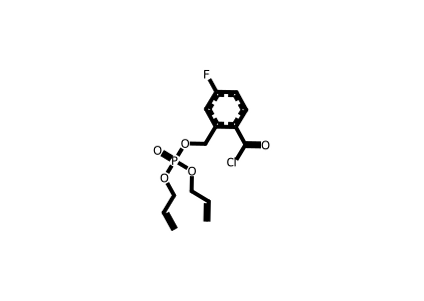 C=CCOP(=O)(OCC=C)OCc1cc(F)ccc1C(=O)Cl